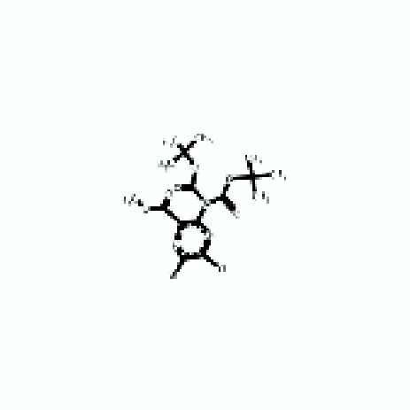 COC(=O)c1nc(Br)c(Cl)nc1N(C(=O)OC(C)(C)C)C(=O)OC(C)(C)C